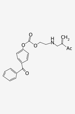 C=C(CNCCOC(=O)Oc1ccc(C(=O)c2ccccc2)cc1)C(C)=O